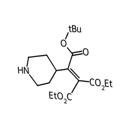 CCOC(=O)C(C(=O)OCC)=C(C(=O)OC(C)(C)C)C1CCNCC1